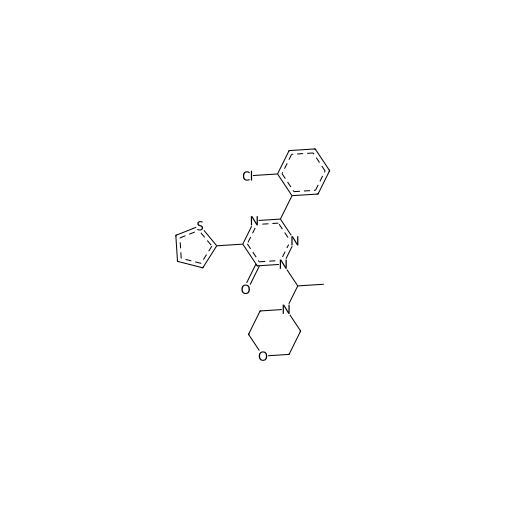 CC(N1CCOCC1)n1nc(-c2ccccc2Cl)nc(-c2cccs2)c1=O